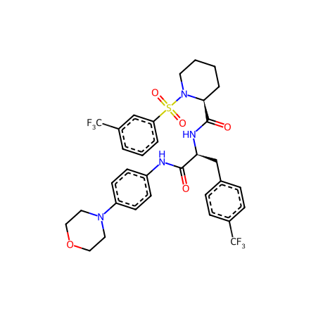 O=C(Nc1ccc(N2CCOCC2)cc1)[C@H](Cc1ccc(C(F)(F)F)cc1)NC(=O)[C@@H]1CCCCN1S(=O)(=O)c1cccc(C(F)(F)F)c1